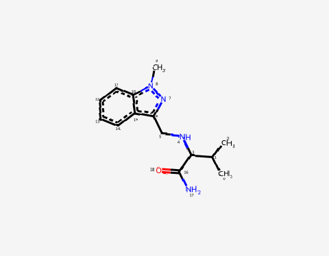 CC(C)C(NCc1nn(C)c2ccccc12)C(N)=O